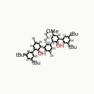 COCCSc1c(-c2cc(C)cc(-c3cc(C(C)(C)C)cc(C(C)(C)C)c3)c2O)cc(C)cc1-c1cc(C)cc(-c2cc(C(C)(C)C)cc(C(C)(C)C)c2)c1O